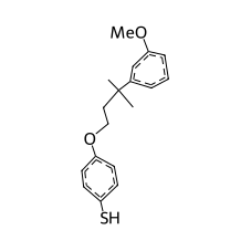 COc1cccc(C(C)(C)CCOc2ccc(S)cc2)c1